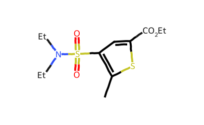 CCOC(=O)c1cc(S(=O)(=O)N(CC)CC)c(C)s1